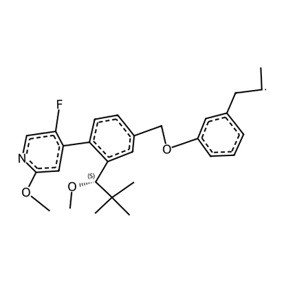 C[CH]Cc1cccc(OCc2ccc(-c3cc(OC)ncc3F)c([C@@H](OC)C(C)(C)C)c2)c1